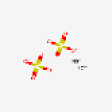 O=S(=O)([O-])[O-].O=S(=O)([O-])[O-].[Fe+3].[Na+]